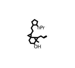 C=CCC1C2C3(CCC(O)C12C)CC3CCC1CCCC1CCC